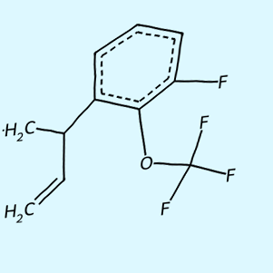 [CH2]C(C=C)c1cccc(F)c1OC(F)(F)F